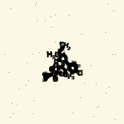 C=CC[C@@]1(C)CCC(c2ccc(Cl)cc2)N(C(CC)C(=O)N(C)S(=O)(=O)C2CC2)C1=O